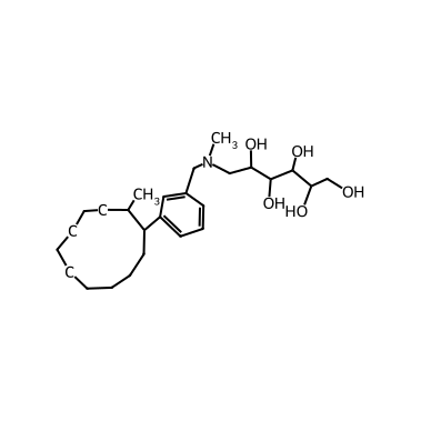 CC1CCCCCCCCCC1c1cccc(CN(C)CC(O)C(O)C(O)C(O)CO)c1